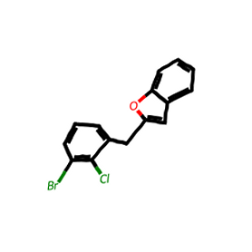 Clc1c(Br)cccc1Cc1cc2ccccc2o1